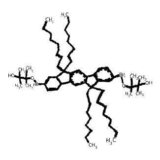 CCCCCCCCC1(CCCCCCCC)c2cc(BOC(C)(C)C(C)(C)O)ccc2-c2cc3c(cc21)C1C=CC(BOC(C)(C)C(C)(C)O)=CC1C3(CCCCCCCC)CCCCCCCC